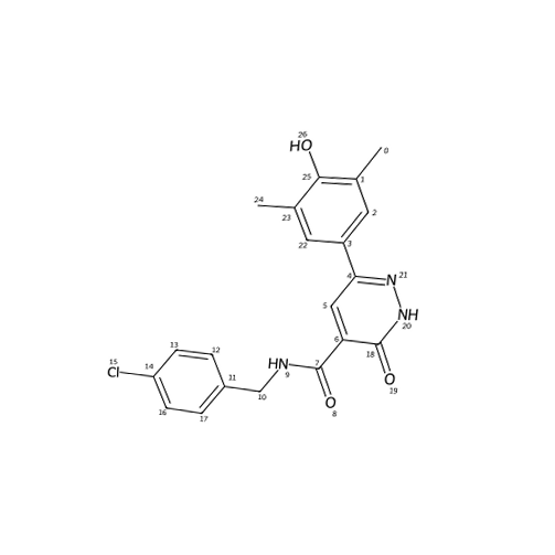 Cc1cc(-c2cc(C(=O)NCc3ccc(Cl)cc3)c(=O)[nH]n2)cc(C)c1O